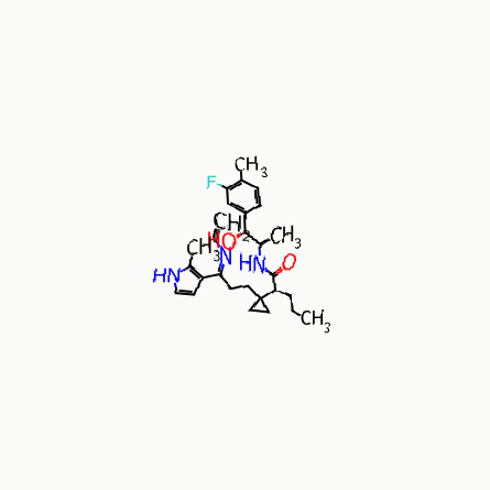 C=C/N=C(/CCC1([C@H](CCC)C(=O)NC(C)[C@@H](O)c2ccc(C)c(F)c2)CC1)c1cc[nH]c1C